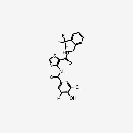 O=C(Nc1ncsc1C(=O)NCc1ccccc1C(F)(F)F)c1cc(F)c(O)c(Cl)c1